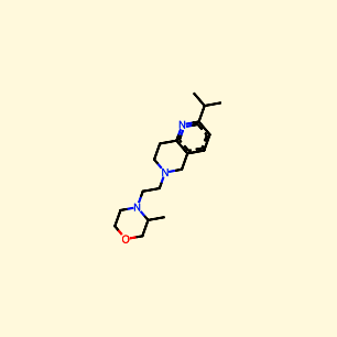 CC(C)c1ccc2c(n1)CCN(CCN1CCOCC1C)C2